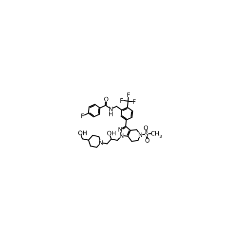 CS(=O)(=O)N1CCc2c(c(-c3ccc(C(F)(F)F)c(CNC(=O)c4ccc(F)cc4)c3)nn2CC(O)CN2CCC(CO)CC2)C1